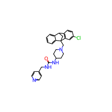 O=C(NCc1ccncc1)NC1CCN(CC23CC(c4ccccc42)c2ccc(Cl)cc23)CC1